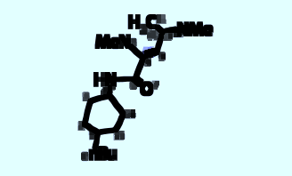 CCCCC1CCC(NC(=O)/C(=C/[C@@H](C)NC)NC)CC1